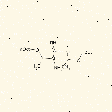 CCCCCCCCOC(C)NC(=N)N(N)C(C)OCCCCCCCC